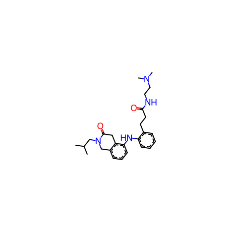 CC(C)CN1Cc2cccc(Nc3ccccc3CCC(=O)NCCN(C)C)c2CC1=O